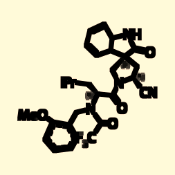 COc1ccccc1CN(C(=O)C(F)(F)F)[C@@H](CC(C)C)C(=O)N1C[C@]2(C[C@H]1C#N)C(=O)NC1C=CC=CC12